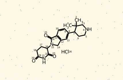 CC1(C)CNCCC1c1ccc2c(c1)CN(C1CCC(=O)NC1=O)C2=O.Cl